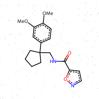 COc1ccc(C2(CNC(=O)c3ccno3)CCCC2)cc1OC